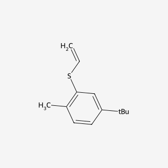 C=CSc1cc(C(C)(C)C)ccc1C